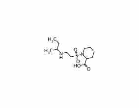 CCC(C)NCCS(=O)(=O)N1CCCCC1C(=O)O